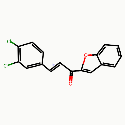 O=C(/C=C/c1ccc(Cl)c(Cl)c1)c1cc2ccccc2o1